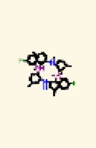 Cc1ccc2c(c1)Nc1cc(C)ccc1[PH](C)(c1cccc(F)c1)c1cc(C)ccc1N(C)c1ccc(C)cc1[PH]2(C)c1cccc(F)c1